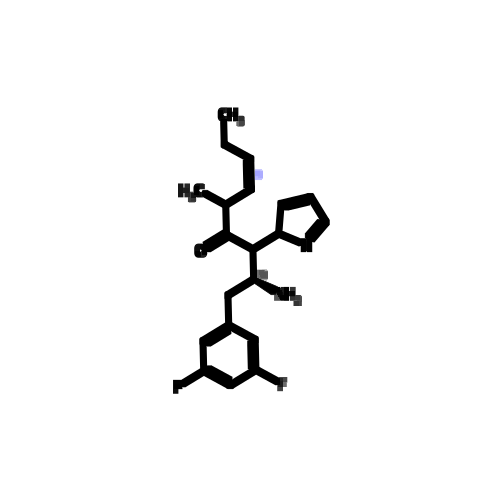 CC/C=C\C(C)C(=O)C(C1C=CC=N1)[C@@H](N)Cc1cc(F)cc(F)c1